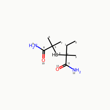 CCC(C)(BC(C)(C)C(N)=O)C(N)=O